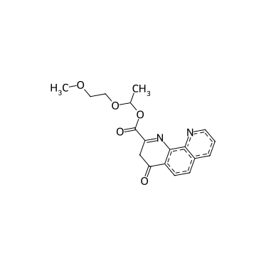 COCCOC(C)OC(=O)C1=Nc2c(ccc3cccnc23)C(=O)C1